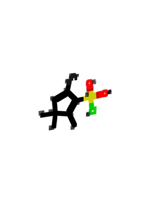 CC1=C(S(=O)(=O)Cl)C(C(C)C)=CC1(C)C